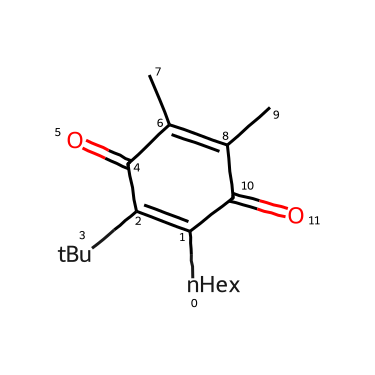 CCCCCCC1=C(C(C)(C)C)C(=O)C(C)=C(C)C1=O